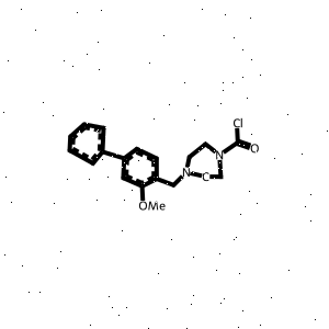 COc1cc(-c2ccccc2)ccc1CN1CCN(C(=O)Cl)CC1